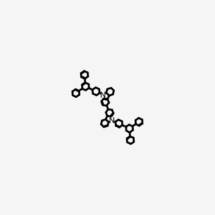 C1=CCCC(C2=CC(C3=CCCCC3)CC(C3CCC(N4C5=C(CC(C6CC=C7C(C6)C6CCC=CC6N7C6C=CC(C7CC(C8=CCCCC8)CC(C8C=CCCC8)C7)CC6)C=C5)C5CCCCC54)CC3)C2)=C1